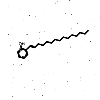 CCCCCCCCCCCCCC=Cc1ccccc1O